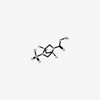 CC(C)(C)OC(=O)N1C[C@@H]2C[C@H]1CN2S(=O)(=O)Cl